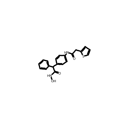 O=C(Cc1cccs1)Nc1ccc(C(C(=O)NO)c2ccccc2)cc1